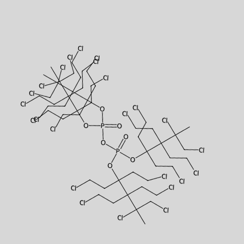 CC(Cl)(CCl)C(CCCl)(CCCl)C(CCCl)(CCCl)OP(=O)(OC(CCCl)(CCCl)C(CCCl)(CCCl)C(C)(Cl)CCl)OP(=O)(OC(CCCl)(CCCl)C(CCCl)(CCCl)C(C)(Cl)CCl)OC(CCCl)(CCCl)C(CCCl)(CCCl)C(C)(Cl)CCl